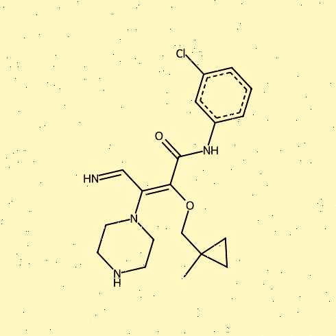 CC1(CO/C(C(=O)Nc2cccc(Cl)c2)=C(/C=N)N2CCNCC2)CC1